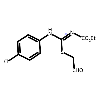 CCOC(=O)/N=C(/Nc1ccc(Cl)cc1)SCC=O